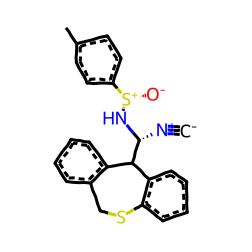 [C-]#[N+][C@@H](N[S@@+]([O-])c1ccc(C)cc1)C1c2ccccc2CSc2ccccc21